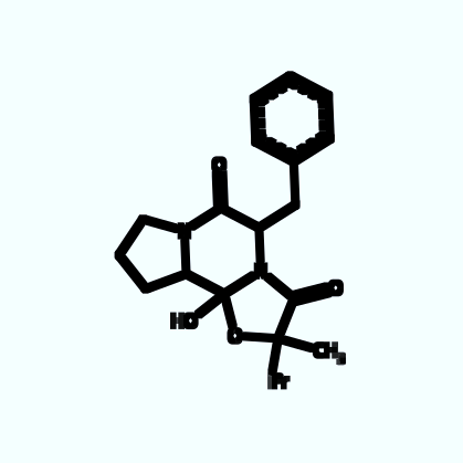 CC(C)C1(C)OC2(O)C3CCCN3C(=O)C(Cc3ccccc3)N2C1=O